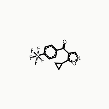 O=C(c1ccc(S(F)(F)(F)(F)F)cc1)c1cnoc1C1CC1